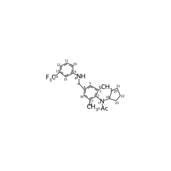 CC(=O)N(c1c(C)cc(CNc2cccc(C(F)(F)F)c2)cc1C)C1CCCC1